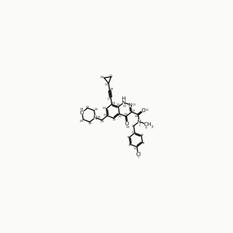 CN(Cc1ccc(Cl)cc1)C(=O)c1n[nH]c2c(C#CC3CC3)cc(CN3CCOCC3)cc2c1=O